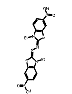 CCn1c(=NN=c2sc3cc(S(=O)O)ccc3n2CC)sc2cc(S(=O)O)ccc21